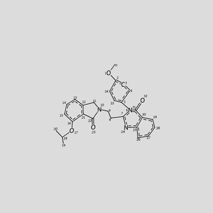 COc1ccc(-n2c(CCN3Cc4cccc(OC(C)C)c4C3=O)nc3ccccc3c2=O)cc1